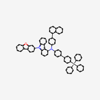 c1ccc([Si](c2ccccc2)(c2ccccc2)c2ccc(-c3ccc(N(c4ccc(-c5cccc6ccccc56)cc4)c4cccc5c4c4ccccc4n5-c4ccc5c(c4)oc4ccccc45)cc3)cc2)cc1